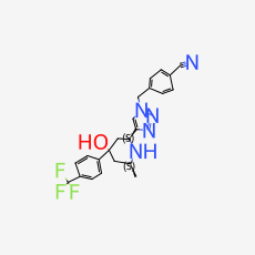 C[C@H]1CC(O)(c2ccc(C(F)(F)F)cc2)C[C@@H](c2cn(Cc3ccc(C#N)cc3)nn2)N1